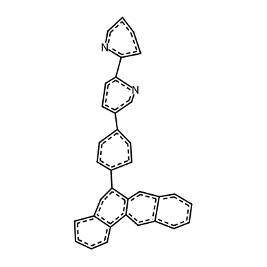 c1ccc(-c2ccc(-c3ccc(-c4cc5ccccc5c5cc6ccccc6cc45)cc3)cn2)nc1